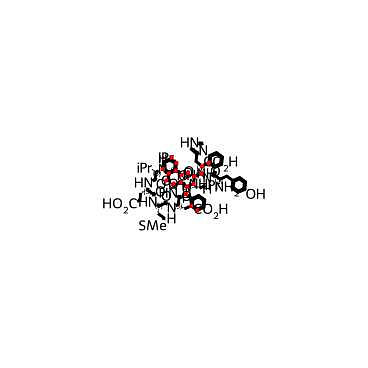 CSCC[C@H](NC(=O)[C@H](CCC(=O)O)NC(=O)[C@@H](NC(=O)[C@H](CC(C)C)NC(=O)[C@H](Cc1ccccc1)NC(=O)[C@H](Cc1ccccc1)NC(=O)[C@@H](N)Cc1ccc(O)cc1)C(C)C)C(=O)N[C@@H](CCC(=O)O)C(=O)N[C@@H](Cc1ccccc1)C(=O)N[C@@H](CC(C)C)C(=O)N[C@@H](Cc1c[nH]cn1)C(=O)O